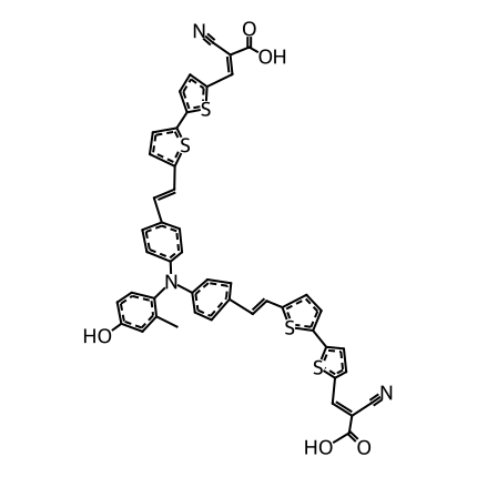 Cc1cc(O)ccc1N(c1ccc(/C=C/c2ccc(-c3ccc(/C=C(\C#N)C(=O)O)s3)s2)cc1)c1ccc(/C=C/c2ccc(-c3ccc(/C=C(\C#N)C(=O)O)s3)s2)cc1